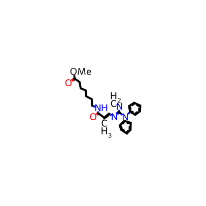 C=N/C(=N\C=C(/C)C(=O)NCCCCCCC(=O)OC)N(c1ccccc1)c1ccccc1